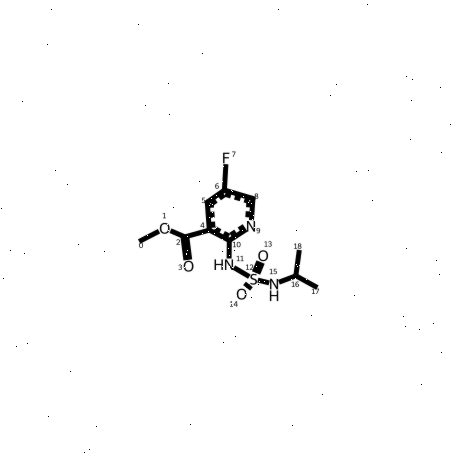 COC(=O)c1cc(F)cnc1NS(=O)(=O)NC(C)C